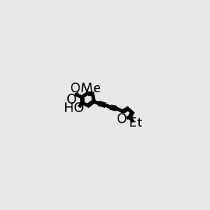 CCc1ccc(C#CC#Cc2ccc(C(=O)OC)c(O)c2)o1